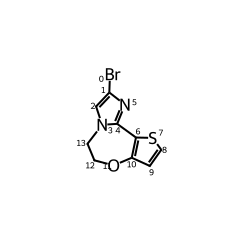 Brc1cn2c(n1)-c1sccc1OCC2